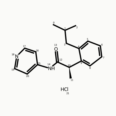 CC(C)Cc1ccccc1[C@@H](C)C(=O)Nc1ccncc1.Cl